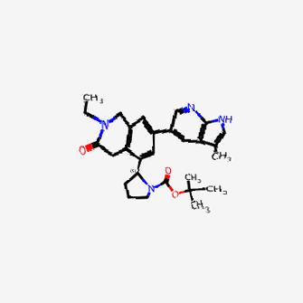 CCN1Cc2cc(-c3cnc4[nH]cc(C)c4c3)cc([C@@H]3CCCN3C(=O)OC(C)(C)C)c2CC1=O